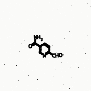 NC(=O)c1ccc([C]=O)nc1